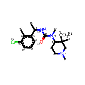 CCOC(=O)C1(C)CN(C)CCC1N(C)C(=O)NC(C)c1cccc(Cl)c1C